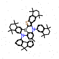 Cc1cc2c3c(c1)N(c1ccc4c(c1)C(C)(C)CCC4(C)C)c1c(sc4cc5c(cc14)C(C)(C)CCC5(C)C)B3c1cc3c(cc1N2c1cccc2c1-c1ccccc1C2(C)C)C(C)(C)CCC3(C)C